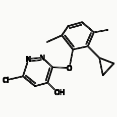 Cc1ccc(C)c(C2CC2)c1Oc1nnc(Cl)cc1O